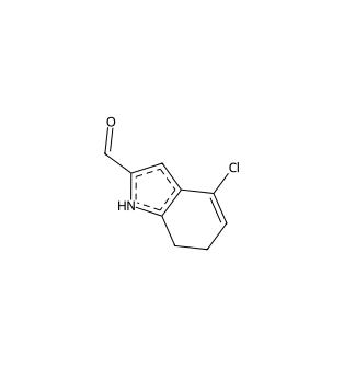 O=Cc1cc2c([nH]1)CCC=C2Cl